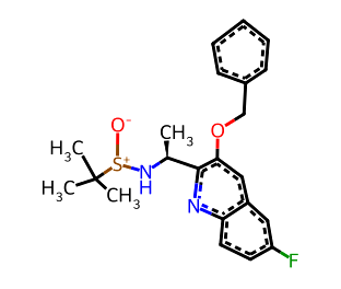 C[C@H](N[S+]([O-])C(C)(C)C)c1nc2ccc(F)cc2cc1OCc1ccccc1